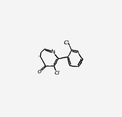 O=C1[CH]C=NC(c2ccccc2Cl)=C1Cl